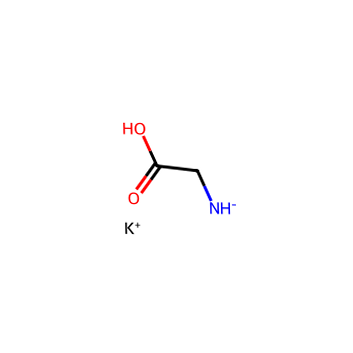 [K+].[NH-]CC(=O)O